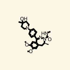 CNC(=O)N1N=C(c2ccc(N3CCC(C)(O)CC3)cc2)c2cc(OC)c(OC)cc2C[C@@H]1C